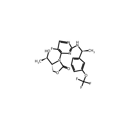 C[C@H](Nc1ncc(F)c(N2C(=O)OC[C@@H]2[C@@H](C)O)n1)c1cccc(OC(F)(F)F)c1